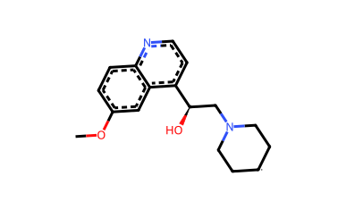 COc1ccc2nccc([C@H](O)CN3CC[CH]CC3)c2c1